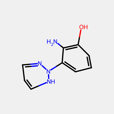 Nc1c(O)cccc1N1N=CC=CN1